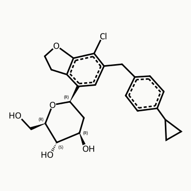 OC[C@H]1O[C@@H](c2cc(Cc3ccc(C4CC4)cc3)c(Cl)c3c2CCO3)C[C@@H](O)[C@@H]1O